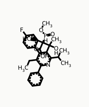 C#CC(C(=O)O)([PH](=O)OC)C(C)(O)c1c(C(C)C)nc(-c2ccccc2)c(CC)c1-c1ccc(F)cc1